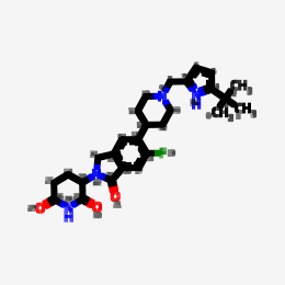 CC(C)(C)c1ccc(CN2CCC(c3cc4c(cc3F)C(=O)N(C3CCC(=O)NC3=O)C4)CC2)[nH]1